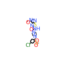 COc1ncnc2sc(NC(=O)N3CCN(Cc4ccc(Cl)cc4S(C)(=O)=O)CC3)nc12